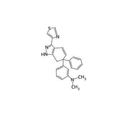 CN(C)c1cccc(C2(c3ccccc3)C=Cc3c(-c4cscn4)n[nH]c3C2)c1